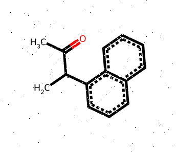 [CH2]C(C(C)=O)c1cccc2ccccc12